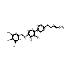 C/C=C/CCc1ccc(-c2ccc(OCc3cc(F)c(F)c(F)c3)c(F)c2F)cc1